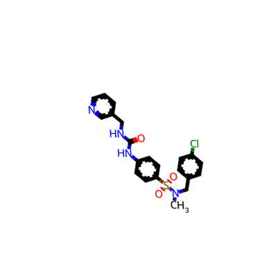 CN(Cc1ccc(Cl)cc1)S(=O)(=O)c1ccc(NC(=O)NCc2cccnc2)cc1